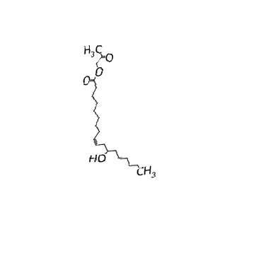 CCCCCC[C@@H](O)C/C=C\CCCCCCCC(=O)OCC(C)=O